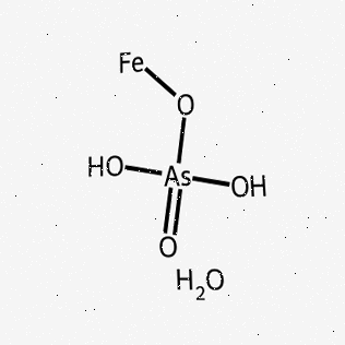 O.O=[As](O)(O)[O][Fe]